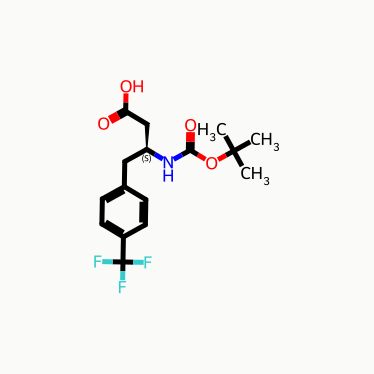 CC(C)(C)OC(=O)N[C@H](CC(=O)O)Cc1ccc(C(F)(F)F)cc1